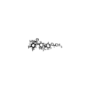 CCO[C@H]1CC[C@](C)(N2CCC(n3c(=O)[nH]c4cc(F)c(F)cc43)CC2)CC1